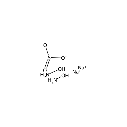 NO.NO.O=S([O-])[O-].[Na+].[Na+]